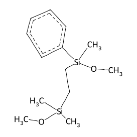 CO[Si](C)(C)CC[Si](C)(OC)c1ccccc1